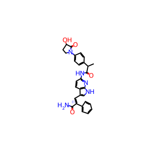 CC(C(=O)Nc1ccc2c(/C=C(/C(N)=O)c3ccccc3)c[nH]c2n1)c1ccc(N2CCC(O)C2=O)cc1